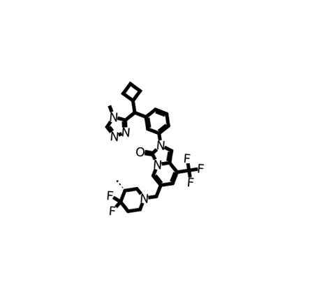 C[C@@H]1CN(Cc2cc(C(F)(F)F)c3cn(-c4cccc(C(c5nncn5C)C5CCC5)c4)c(=O)n3c2)CCC1(F)F